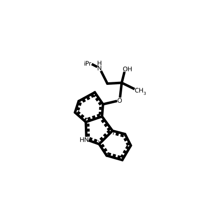 CC(C)NCC(C)(O)Oc1cccc2[nH]c3ccccc3c12